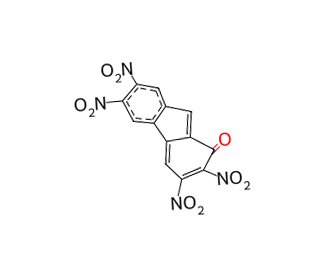 O=C1C2=Cc3cc([N+](=O)[O-])c([N+](=O)[O-])cc3C2=CC([N+](=O)[O-])=C1[N+](=O)[O-]